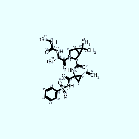 C=C[C@@H]1C[C@]1(NC(=O)[C@@H]1C2C(CN1C(=O)[C@@H](NC(=O)NC(C)(C)C)C(C)(C)C)C2(C)C)C(=O)NS(=O)(=O)c1ccccc1